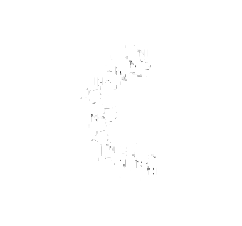 CC(C)[C@@H](C(=O)N1CCCC1C(=O)Nc1ccc(CN(Cc2ccc(NC(=O)[C@@H]3CCCN3C(=O)[C@H](C(C)C)N3CCCNC3=O)cc2)c2ccccc2)cc1)N1CCCNC1=O